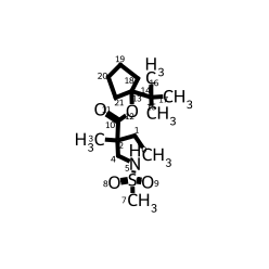 CCC(C)(CNS(C)(=O)=O)C(=O)OC1(C(C)(C)C)CCCC1